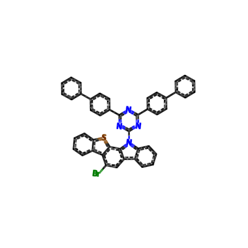 Brc1cc2c3ccccc3n(-c3nc(-c4ccc(-c5ccccc5)cc4)nc(-c4ccc(-c5ccccc5)cc4)n3)c2c2sc3ccccc3c12